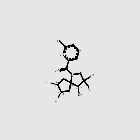 O=C(c1cccc(Cl)n1)N1CC(F)(F)[C@@H](O)C12C[C@@H](F)[C@@H](F)C2